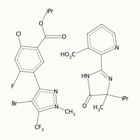 CC(C)C1(C)N=C(c2ncccc2C(=O)O)NC1=O.CC(C)OC(=O)c1cc(-c2nn(C)c(C(F)(F)F)c2Br)c(F)cc1Cl